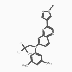 COc1cc(OC)cc(N(CC(O)(S)C(F)(F)F)c2ccc3ncc(-c4cnn(C(C)C)c4)nc3c2)c1